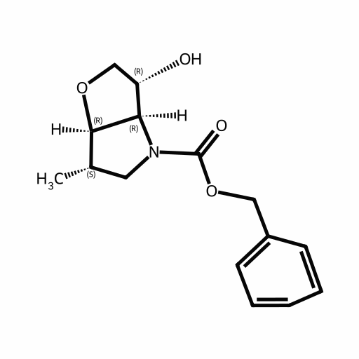 C[C@H]1CN(C(=O)OCc2ccccc2)[C@H]2[C@@H]1OC[C@@H]2O